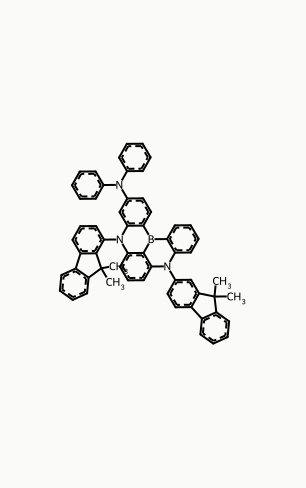 CC1(C)c2ccccc2-c2ccc(N3c4ccccc4B4c5ccc(N(c6ccccc6)c6ccccc6)cc5N(c5cccc6c5C(C)(C)c5ccccc5-6)c5cccc3c54)cc21